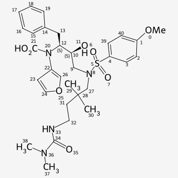 COc1ccc(S(=O)(=O)N(C[C@H](O)[C@H](Cc2ccccc2)N(C(=O)O)c2ccoc2)CC(C)(C)CCNC(=O)N(C)C)cc1